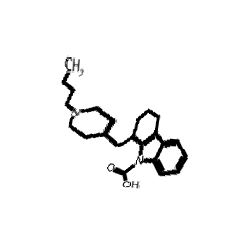 CCCCN1CCC(CC2CCCc3c2n(C(=O)O)c2ccccc32)CC1